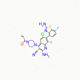 C=CC(=O)N1CCN(c2c(C#N)c(N)nc3c(F)c(-c4ccc(F)c5sc(N)nc45)c(Cl)cc23)CC1